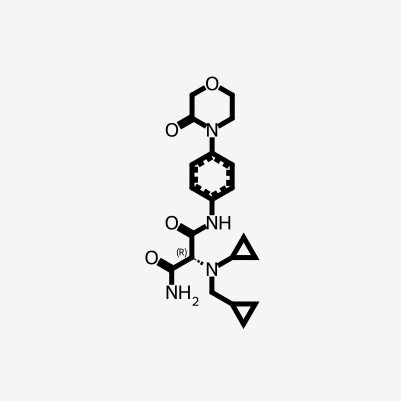 NC(=O)[C@H](C(=O)Nc1ccc(N2CCOCC2=O)cc1)N(CC1CC1)C1CC1